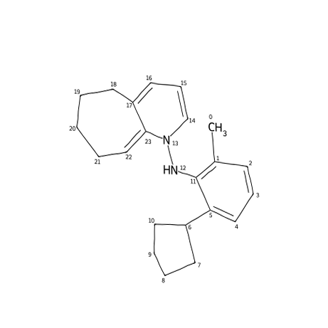 Cc1cccc(C2CCCC2)c1NN1C=CC=C2CCCCC=C21